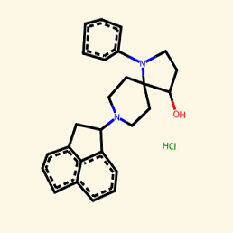 Cl.OC1CCN(c2ccccc2)C12CCN(C1Cc3cccc4cccc1c34)CC2